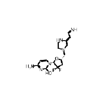 N=C/C=C1/CN(C[C@@H]2CC(F)(F)[C@H](N3C=CC(N)=NC3O)O2)CCN1